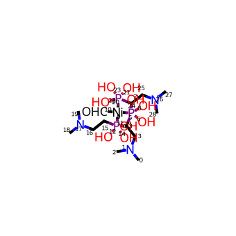 CN(C)CC[P](O)(O)(O)[Ni]([CH]=O)([P](O)(O)(O)CCN(C)C)[P](O)(O)(O)CCN(C)C